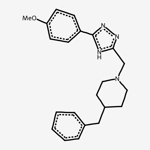 COc1ccc(-c2nnc(CN3CCC(Cc4ccccc4)CC3)[nH]2)cc1